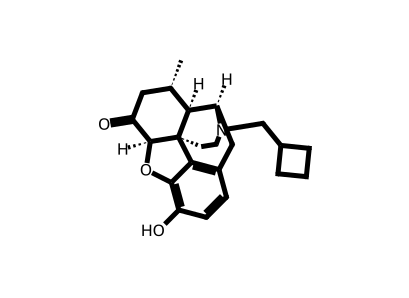 C[C@H]1CC(=O)[C@@H]2Oc3c(O)ccc4c3[C@@]23CCN(CC2CCC2)[C@H](C4)[C@H]13